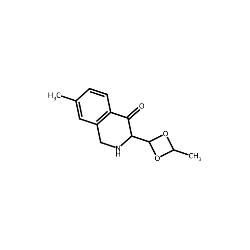 Cc1ccc2c(c1)CNC(C1OC(C)O1)C2=O